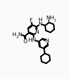 NC(=O)c1cc(F)c(NC2CCCC[C@@H]2N)nc1Nc1cncc(C2CCCCC2)c1